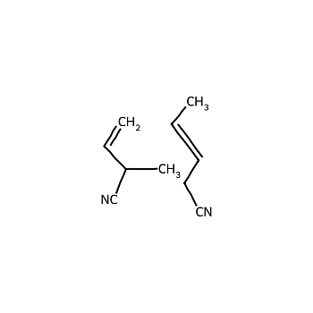 C=CC(C)C#N.CC=CCC#N